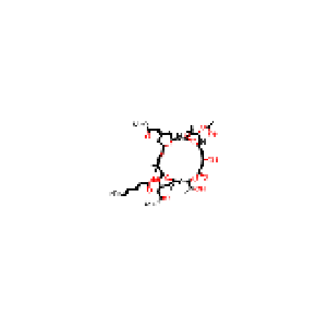 CCC/C=C/C=C/C(=O)O[C@H]1C(CC(=O)OC)C[C@H]2C[C@H]([C@@H](C)O)OC(=O)C[C@H](O)C[C@@H]3C[C@H](OC(C)O)C(C)(C)[C@](O)(C[C@@H]4C/C(=C/C(=O)OC)C[C@H](/C=C/C(C)(C)C1(O)O2)O4)O3